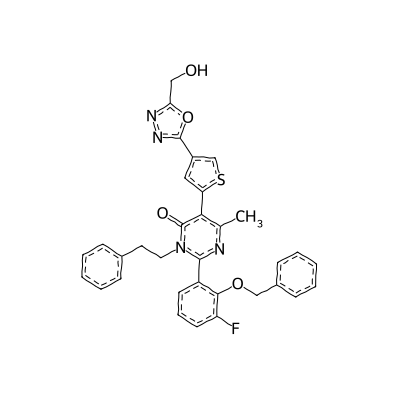 Cc1nc(-c2cccc(F)c2OCc2ccccc2)n(CCc2ccccc2)c(=O)c1-c1cc(-c2nnc(CO)o2)cs1